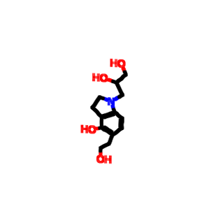 OCCc1ccc2c(c1O)CCN2CC(O)CO